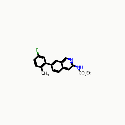 CCOC(=O)Nc1cc2ccc(-c3cc(F)ccc3C)cc2cn1